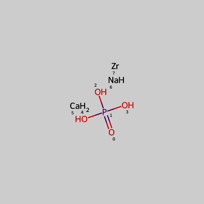 O=P(O)(O)O.[CaH2].[NaH].[Zr]